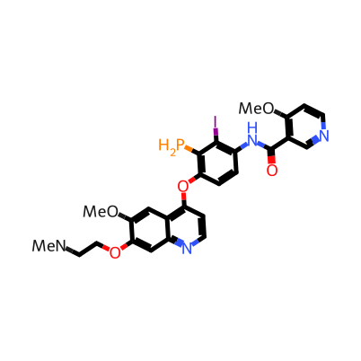 CNCCOc1cc2nccc(Oc3ccc(NC(=O)c4cnccc4OC)c(I)c3P)c2cc1OC